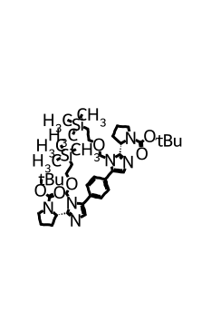 CC(C)(C)OC(=O)N1CCC[C@H]1c1ncc(-c2ccc(-c3cnc([C@@H]4CCCN4C(=O)OC(C)(C)C)n3COCC[Si](C)(C)C)cc2)n1COCC[Si](C)(C)C